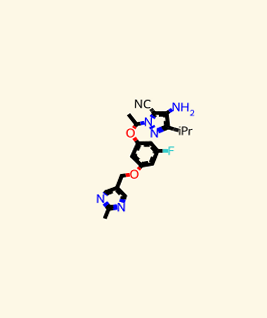 Cc1ncc(COc2cc(F)cc(OC(C)n3nc(C(C)C)c(N)c3C#N)c2)cn1